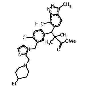 CCC1CCN(Cc2nccn2Cc2cc([C@@H](c3ccc4c(nnn4C)c3C)C(C)(C)C(=O)OC)ccc2Cl)CC1